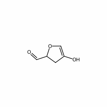 O=CC1CC(O)=CO1